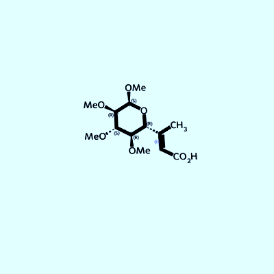 CO[C@H]1O[C@H](/C(C)=C/C(=O)O)[C@@H](OC)[C@H](OC)[C@H]1OC